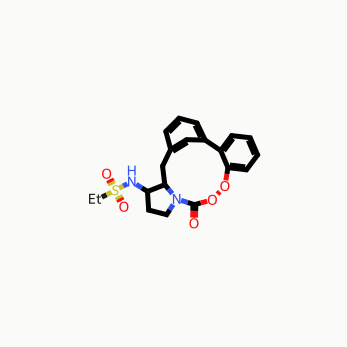 CCS(=O)(=O)NC1CCN2C(=O)OOc3ccccc3-c3cccc(c3)CC12